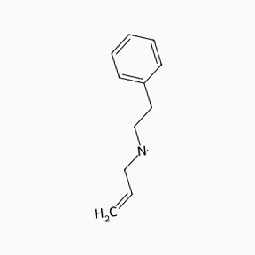 C=CC[N]CCc1ccccc1